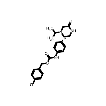 CC(C)N1CC(=O)NC[C@@H]1c1ccc(NC(=O)OCc2ccc(Cl)cc2)cc1